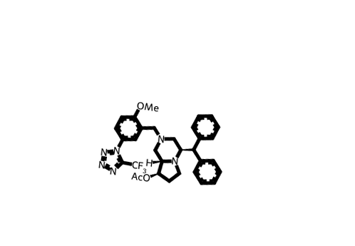 COc1ccc(-n2nnnc2C(F)(F)F)cc1CN1C[C@@H](C(c2ccccc2)c2ccccc2)N2CC[C@@H](OC(C)=O)[C@@H]2C1